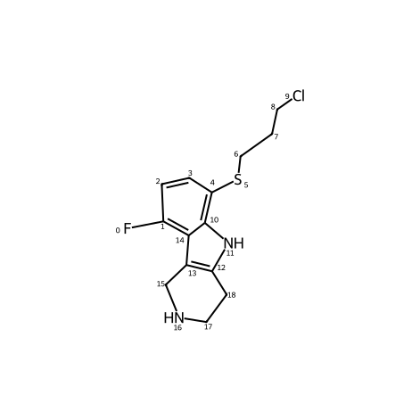 Fc1ccc(SCCCCl)c2[nH]c3c(c12)CNCC3